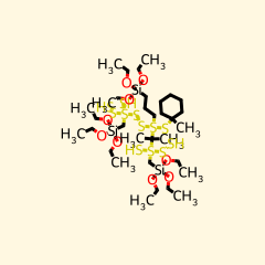 CCO[Si](CCCS(SSS(S)(C[Si](OCC)(OCC)OCC)SS)(SC1(C)CCCCC1)C(C)(C)S(S)(C[Si](OCC)(OCC)OCC)SS)(OCC)OCC